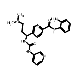 CN(C)CCC(NC(=O)Nc1cccnc1)c1ccc(C(=O)Nc2ccccc2N)nc1